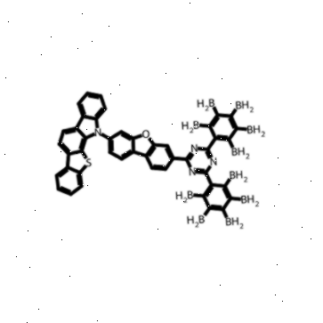 Bc1c(B)c(B)c(-c2nc(-c3ccc4c(c3)oc3cc(-n5c6ccccc6c6ccc7c8ccccc8sc7c65)ccc34)nc(-c3c(B)c(B)c(B)c(B)c3B)n2)c(B)c1B